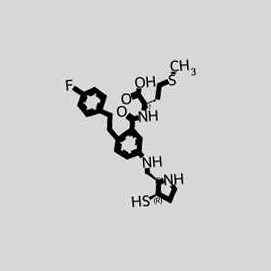 CSCC[C@H](NC(=O)c1cc(NC[C@H]2NCC[C@H]2S)ccc1CCc1ccc(F)cc1)C(=O)O